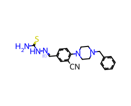 N#Cc1cc(/C=N/NC(N)=S)ccc1N1CCN(Cc2ccccc2)CC1